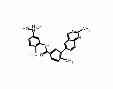 Cc1ccc([NH+]([O-])O)cc1NC(=O)c1ccc(C)c(-c2ccc3nc(N)ncc3c2)c1